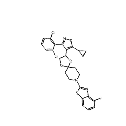 Fc1cccc2sc(N3CCC4(CC3)OCC(c3c(-c5c(Cl)cccc5Cl)noc3C3CC3)O4)nc12